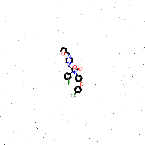 O=C1O[C@@H](CN2CCN(CC3CCCO3)CC2)[C@H](c2cccc(F)c2)N1c1ccc(Oc2ccc(Cl)cc2)cc1